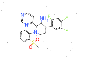 CS(=O)(=O)c1ccccc1N1CCC(c2cc(F)c(F)cc2F)C(N)C1c1ccncn1